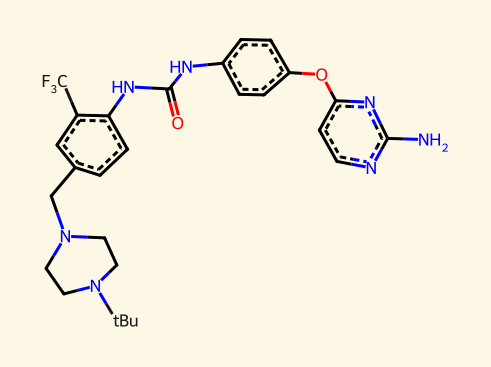 CC(C)(C)N1CCN(Cc2ccc(NC(=O)Nc3ccc(Oc4ccnc(N)n4)cc3)c(C(F)(F)F)c2)CC1